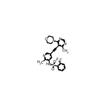 Cc1ncc(C#Cc2c(C)ncnc2N2CCOCC2)cc1NS(=O)(=O)c1ccccc1C(F)(F)F